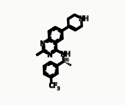 Cc1nc(N[C@H](C)c2cccc(C(F)(F)F)c2)c2cc(C3=CCNCC3)ccc2n1